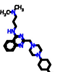 CC(C)C1CCC(N2CCN(Cc3nc(NCCCN(C)C)c4ccccc4n3)CC2)CC1